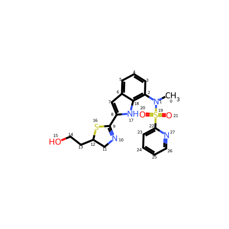 CN(c1cccc2cc(C3=NCC(CCO)S3)[nH]c12)S(=O)(=O)c1ccccn1